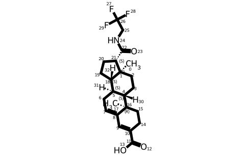 C[C@]12CC[C@H]3[C@@H](CC=C4C=C(C(=O)O)CC[C@@]43C)[C@@H]1CC[C@@H]2C(=O)NCC(F)(F)F